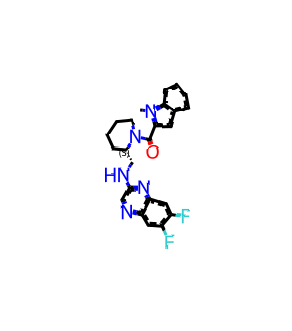 Cn1c(C(=O)N2CCCC[C@H]2CNc2cnc3cc(F)c(F)cc3n2)cc2ccccc21